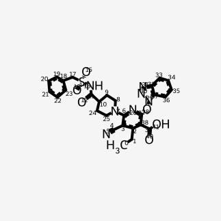 CCc1c(C#N)c(N2CCC(C(=O)NS(=O)(=O)Cc3ccccc3)CC2)nc(On2nnc3ccccc32)c1C(=O)O